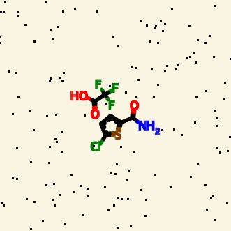 NC(=O)c1ccc(Cl)s1.O=C(O)C(F)(F)F